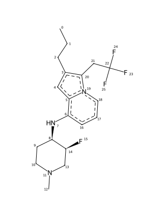 CCCc1cc2c(N[C@@H]3CCN(C)C[C@@H]3F)cccn2c1CC(F)(F)F